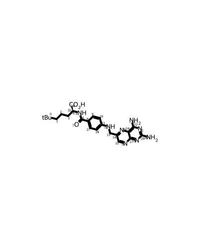 CC(C)(C)CCC[C@H](NC(=O)c1ccc(NCc2cnc3nc(N)nc(N)c3n2)cc1)C(=O)O